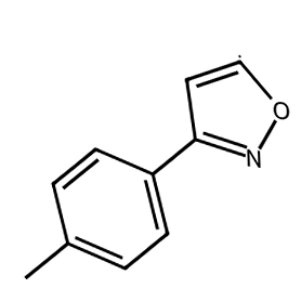 Cc1ccc(-c2c[c]on2)cc1